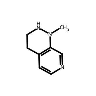 CN1NCCc2ccncc21